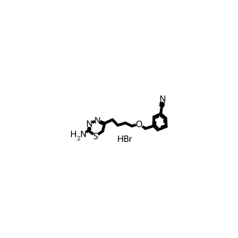 Br.N#Cc1cccc(COCCCCC2=NN=C(N)SC2)c1